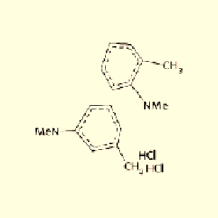 CNc1cccc(C)c1.CNc1ccccc1C.Cl.Cl